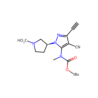 C#Cc1nn([C@H]2CCN(C(=O)O)C2)c(N(C)C(=O)OC(C)(C)C)c1C#N